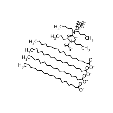 CCCCCCCCCCCCCCCCCC(=O)[O-].CCCCCCCCCCCCCCCCCC(=O)[O-].CCCCCCCCCCCCCCCCCC(=O)[O-].CCCCCCCCCCCCCCCCCC(=O)[O-].CCCCN(CCCC)C(=S)[S-].CCCCN(CCCC)C(=S)[S-].[Zn+2].[Zn+2].[Zn+2]